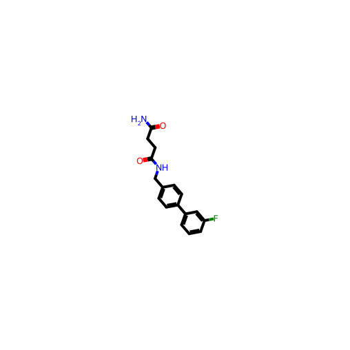 NC(=O)CCC(=O)NCc1ccc(-c2cccc(F)c2)cc1